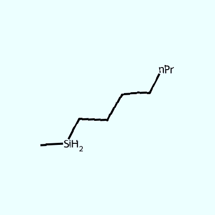 CCCCCCC[SiH2]C